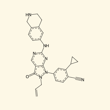 C=CCn1c(=O)c2cnc(Nc3ccc4c(c3)CCNC4)nc2n1-c1ccc(C#N)c(C2CC2)c1